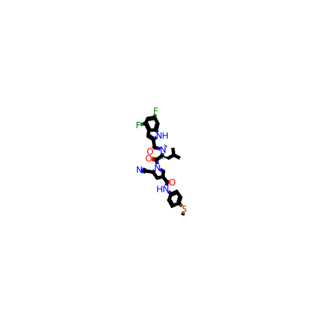 CSc1ccc(NC(=O)C2CC(C#N)N(C(=O)[C@H](CC(C)C)N(C)C(=O)c3cc4c(F)cc(F)cc4[nH]3)C2)cc1